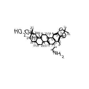 Cc1c2c(cc3c1[C@H](CCN)C=C1[C@@]3(C)CC[C@@]3(C)[C@@H]4C[C@](C)(C(=O)O)CC[C@]4(C)CC[C@]13C)OC(C)(C)O2